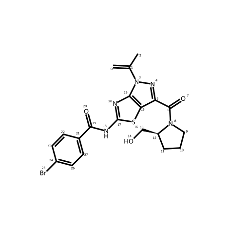 C=C(C)n1nc(C(=O)N2CCC[C@H]2CO)c2sc(NC(=O)c3ccc(Br)cc3)nc21